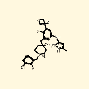 Cc1cc(Nc2cc(C3(F)COC3)c(F)c(CC3(C(=O)O)CCN(Cc4cccc(Cl)c4F)[C@H](C)C3)n2)n[nH]1